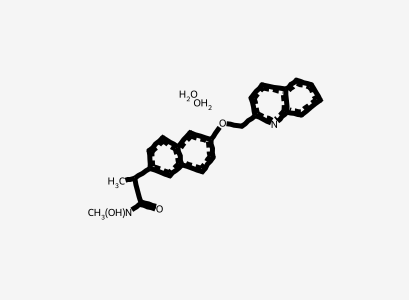 CC(C(=O)N(C)O)c1ccc2cc(OCc3ccc4ccccc4n3)ccc2c1.O.O